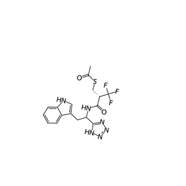 CC(=O)SC[C@@H](C(=O)NC(Cc1c[nH]c2ccccc12)c1nnn[nH]1)C(F)(F)F